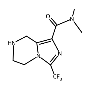 CN(C)C(=O)c1nc(C(F)(F)F)n2c1CNCC2